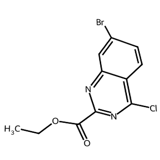 CCOC(=O)c1nc(Cl)c2ccc(Br)cc2n1